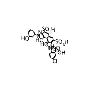 O=P(O)(O)c1cc(Cl)ccc1N=Nc1c(S(=O)(=O)O)cc2cc(S(=O)(=O)O)c(N=Nc3cccc(O)c3)c(O)c2c1O